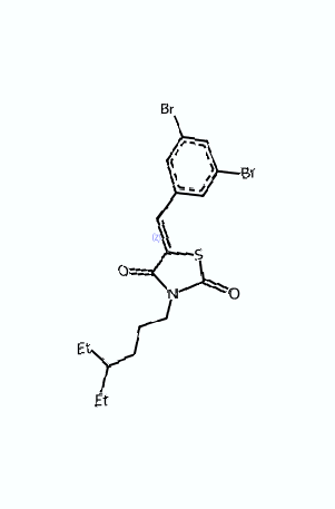 CCC(CC)CCCN1C(=O)S/C(=C\c2cc(Br)cc(Br)c2)C1=O